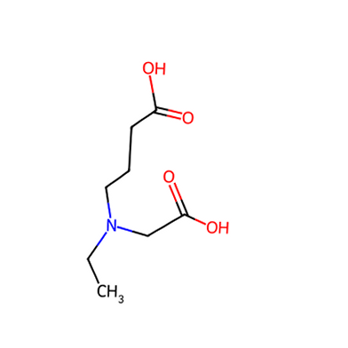 CCN(CCCC(=O)O)CC(=O)O